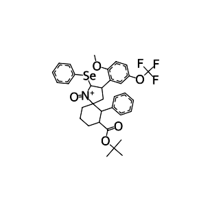 COc1ccc(OC(F)(F)F)cc1C1CC2(CCCC(C(=O)OC(C)(C)C)C2c2ccccc2)[N+](=O)C1[Se]c1ccccc1